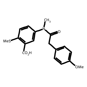 COc1ccc(CC(=O)N(C)c2ccc(SC)c(C(=O)O)c2)cc1